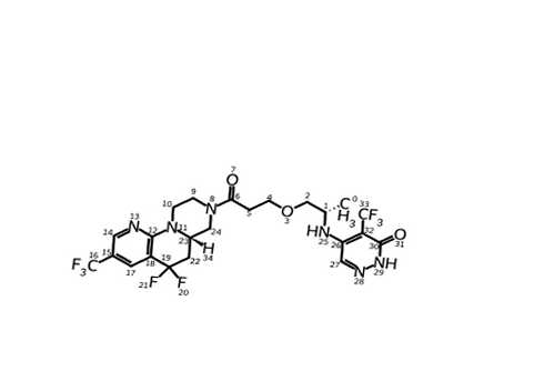 C[C@@H](COCCC(=O)N1CCN2c3ncc(C(F)(F)F)cc3C(F)(F)C[C@H]2C1)Nc1cn[nH]c(=O)c1C(F)(F)F